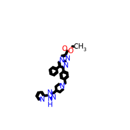 CCOC(=O)c1cn2cc(-c3ccccc3)c(-c3ccc(CN4CCC(c5n[nH]c(-c6ccccn6)n5)CC4)cc3)nc2n1